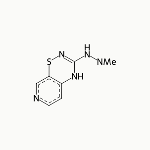 CNNC1=NSc2cnccc2N1